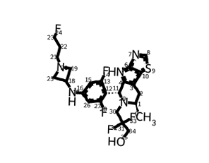 C[C@@H]1Cc2c([nH]c3ncsc23)[C@@H](c2c(F)cc(NC3CN(CCCF)C3)cc2F)N1CC(F)(F)CO